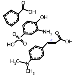 CN(C)c1ccc(/C=C/C(=O)O)cc1.Nc1cc(S(=O)(=O)O)ccc1O.O=C(O)c1ccccc1